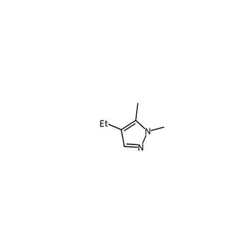 [CH2]Cc1cnn(C)c1C